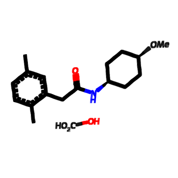 CO[C@H]1CC[C@@H](NC(=O)Cc2cc(C)ccc2C)CC1.O=C(O)O